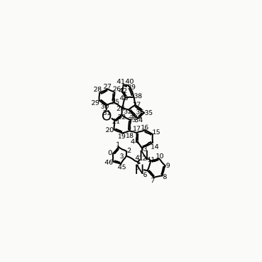 C1=CCC(c2nc3ccccc3n2-c2cccc(-c3ccc4c(c3)C3(c5ccccc5O4)c4ccccc4-c4ccccc43)c2)C=C1